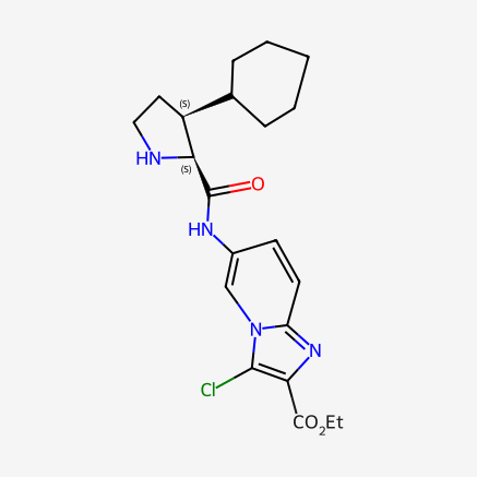 CCOC(=O)c1nc2ccc(NC(=O)[C@H]3NCC[C@H]3C3CCCCC3)cn2c1Cl